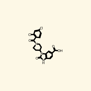 O=C(O)c1ccc2[nH]c(=O)n(C3CCN(C(=O)c4ccc(Cl)cc4Cl)CC3)c2c1